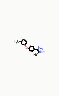 N#Cc1[nH]nnc1-c1ccc(Oc2cccc(C(F)(F)F)c2)cc1